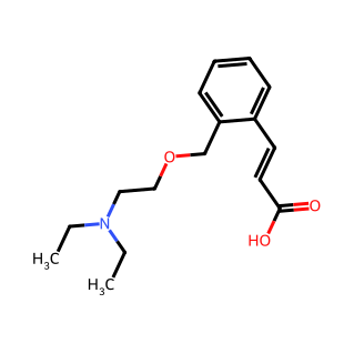 CCN(CC)CCOCc1ccccc1/C=C/C(=O)O